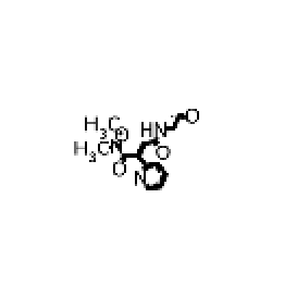 CON(C)C(=O)C(=CC(=O)NC[C]=O)c1ccccn1